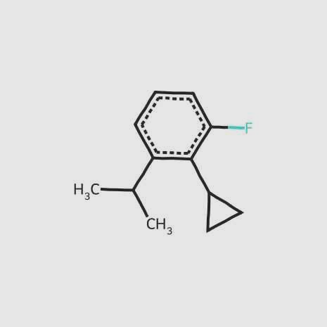 CC(C)c1cccc(F)c1C1CC1